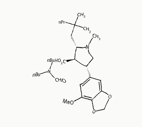 CCCC(C)(C)C[C@H]1[C@H](C(=O)O)[C@@H](c2cc(OC)c3c(c2)OCO3)CN1C.CCCCN(C=O)CCCC